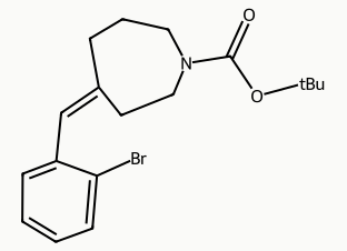 CC(C)(C)OC(=O)N1CCC/C(=C/c2ccccc2Br)CC1